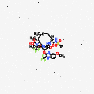 CC[C@@H]1C[C@H](C)CC/C=C\[C@@H]2C[C@@]2(C(=O)NS(=O)(=O)C2CC2)NC(=O)[C@@H]2C[C@@H](Oc3nc4cc(OC)ccc4nc3C(F)(F)F)CN2C(=O)[C@H]1N(C(=O)O)C(C)(C)C(F)(F)F